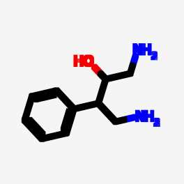 NCC(O)C(CN)c1ccccc1